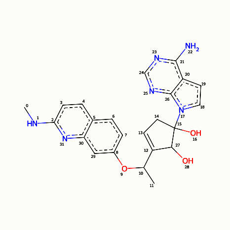 CNc1ccc2ccc(OC(C)C3=CCC(O)(n4ccc5c(N)ncnc54)C3O)cc2n1